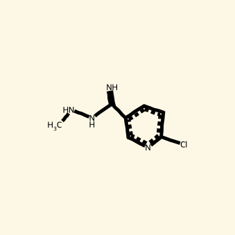 CNNC(=N)c1ccc(Cl)nc1